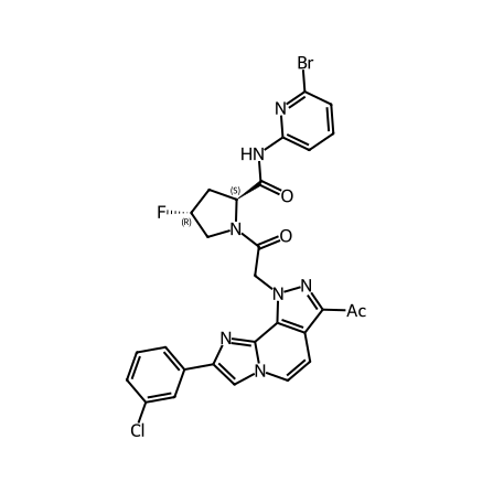 CC(=O)c1nn(CC(=O)N2C[C@H](F)C[C@H]2C(=O)Nc2cccc(Br)n2)c2c1ccn1cc(-c3cccc(Cl)c3)nc21